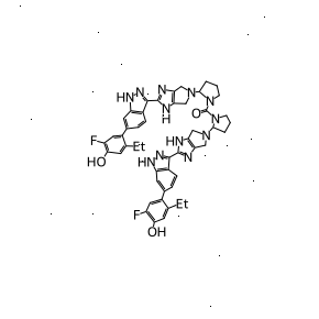 CCc1cc(O)c(F)cc1-c1ccc2c(-c3nc4c([nH]3)CN(C3CCCN3C(=O)N3CCCC3N3Cc5nc(-c6n[nH]c7cc(-c8cc(F)c(O)cc8CC)ccc67)[nH]c5C3)C4)n[nH]c2c1